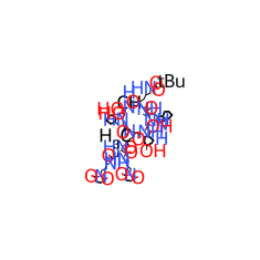 C[C@@H](O)[C@@H]1NC(=O)[C@H](CCCCNC(=O)OC(C)(C)C)NC(=O)[C@@H](Cc2c[nH]c3ccccc23)NC(O)[C@H](Cc2ccc(O)cc2)NC(=O)[C@H](CCC(=O)N[C@@H](CCC(=O)NCCCN2C(=O)C=CC2=O)C(=O)NCCCN2C(=O)C=CC2=O)N(C)C(=O)[C@H](Cc2ccccc2)NC1O